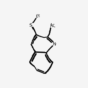 CCSc1cc2ccccc2nc1C(C)=O